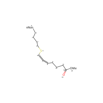 CCCCCCCCCCCCCSC=C=CCCCC(=O)OC